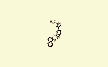 Cn1cc(-c2ccc3nnc(Sc4ccc5ncccc5c4F)n3n2)cn1